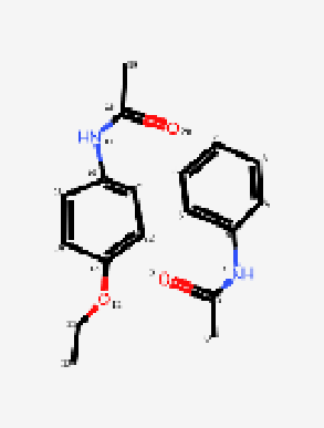 CC(=O)Nc1ccccc1.CCOc1ccc(NC(C)=O)cc1